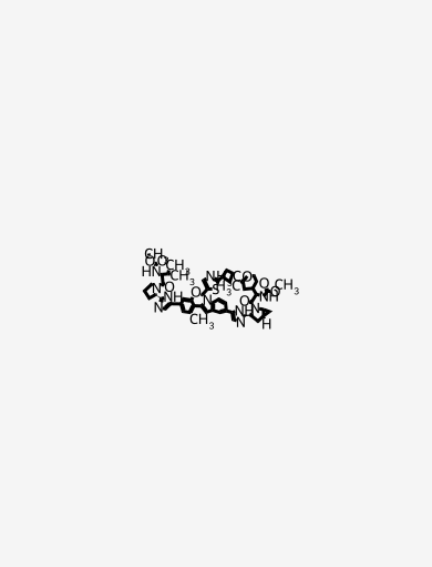 COC(=O)NC(C(=O)N1C2C[C@@H]2C[C@H]1c1ncc(-c2ccc3c(c2)cc2n3C(c3cnc(C4CCC4)s3)Oc3cc(-c4cnc([C@@H]5CCCN5C(=O)[C@@H](NC(=O)OC)C(C)C)[nH]4)cc(C)c3-2)[nH]1)C1CCOC(C)(C)C1